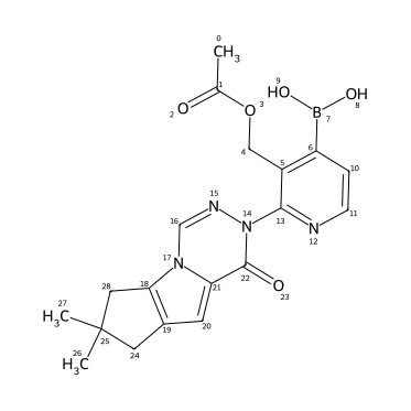 CC(=O)OCc1c(B(O)O)ccnc1-n1ncn2c3c(cc2c1=O)CC(C)(C)C3